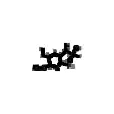 C=Cc1cc(NS(C)(=O)=O)c(F)nc1OC